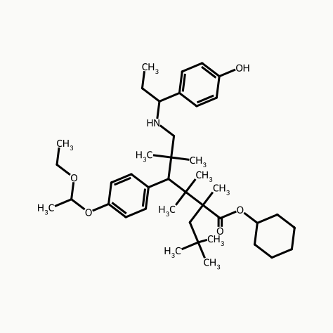 CCOC(C)Oc1ccc(C(C(C)(C)CNC(CC)c2ccc(O)cc2)C(C)(C)C(C)(CC(C)(C)C)C(=O)OC2CCCCC2)cc1